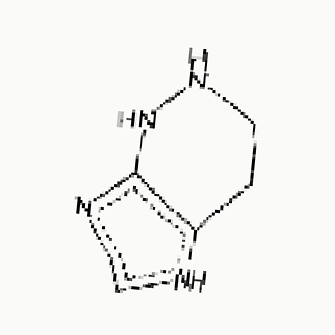 c1nc2c([nH]1)CCNN2